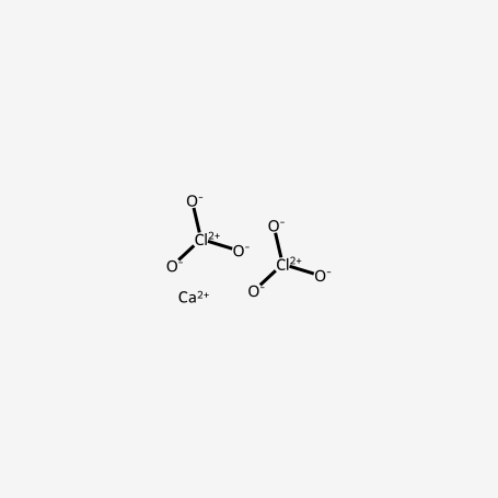 [Ca+2].[O-][Cl+2]([O-])[O-].[O-][Cl+2]([O-])[O-]